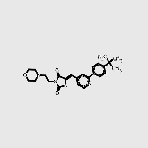 CC(C)(C)c1ccc(-c2cc(/C=C3\SC(=O)N(CCN4CCOCC4)C3=O)ccn2)cc1